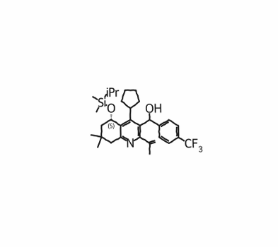 C=C(C)c1nc2c(c(C3CCCC3)c1C(O)c1ccc(C(F)(F)F)cc1)[C@@H](O[Si](C)(C)C(C)C)CC(C)(C)C2